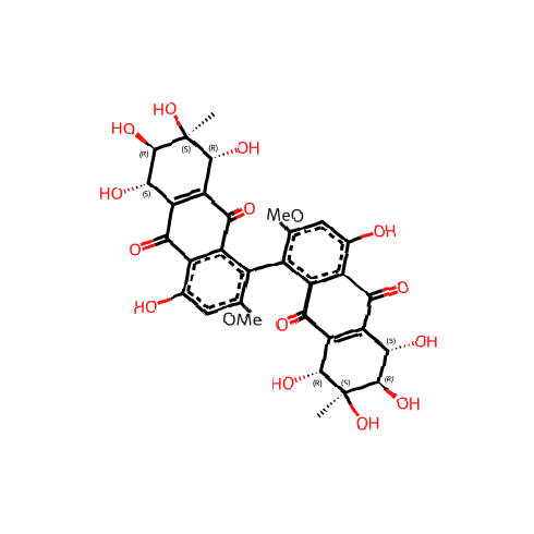 COc1cc(O)c2c(c1-c1c(OC)cc(O)c3c1C(=O)C1=C(C3=O)[C@H](O)[C@@H](O)[C@@](C)(O)[C@@H]1O)C(=O)C1=C(C2=O)[C@H](O)[C@@H](O)[C@@](C)(O)[C@@H]1O